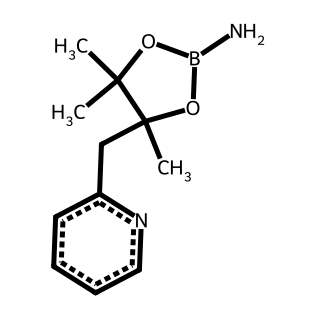 CC1(C)OB(N)OC1(C)Cc1ccccn1